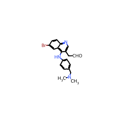 CN(C)Cc1ccc(Nc2c(CC=O)cnc3ccc(Br)cc23)cc1